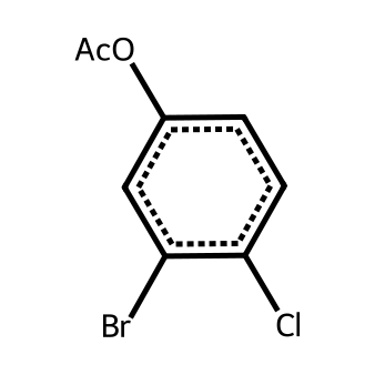 CC(=O)Oc1ccc(Cl)c(Br)c1